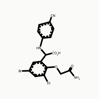 CCc1cc(Br)cc(C(Nc2ccc(C#N)cc2)C(=O)O)c1OCC(N)=O